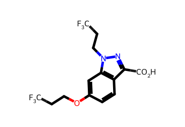 O=C(O)c1nn(CCC(F)(F)F)c2cc(OCCC(F)(F)F)ccc12